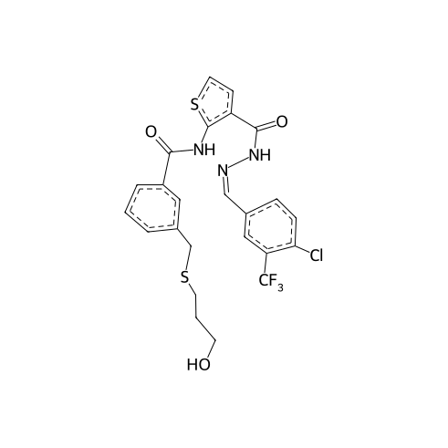 O=C(Nc1sccc1C(=O)N/N=C\c1ccc(Cl)c(C(F)(F)F)c1)c1cccc(CSCCCO)c1